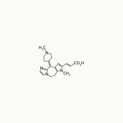 CN1CCC(=C2c3cc(/C=C/C(=O)O)n(C)c3CCn3ccnc32)CC1